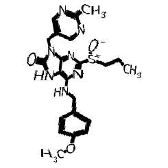 CCC[S+]([O-])c1nc(NCc2ccc(OC)cc2)c2[nH]c(=O)n(Cc3cnc(C)nc3)c2n1